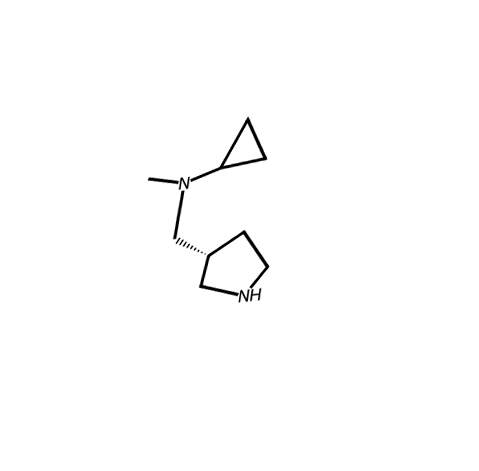 CN(C[C@@H]1CCNC1)C1CC1